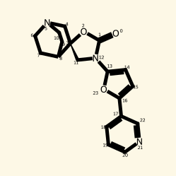 O=C1O[C@]2(CN3CCC2CC3)CN1c1ccc(-c2cccnc2)o1